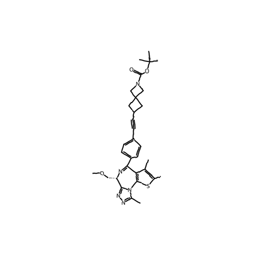 COC[C@@H]1N=C(c2ccc(C#CC3CC4(C3)CN(C(=O)OC(C)(C)C)C4)cc2)c2c(sc(C)c2C)-n2c(C)nnc21